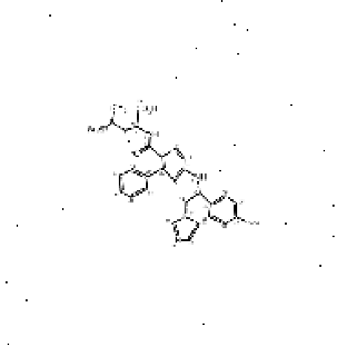 CSC(C)C[C@H](NC(=O)c1ccc(NC(Cn2ccnc2)c2ccc(F)cc2)cc1-c1ccccc1)C(=O)O